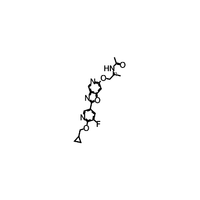 CC(=O)N[C@@H](C)COc1cc2oc(-c3cnc(OCC4CC4)c(F)c3)nc2cn1